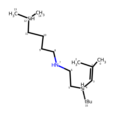 CC(C)=C[SiH](CCNCCCC[SiH](C)C)C(C)(C)C